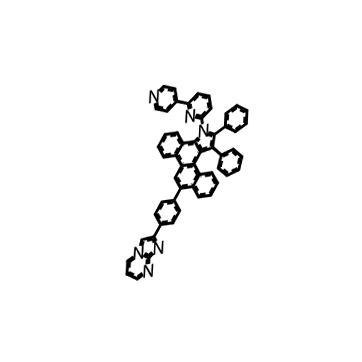 c1ccc(-c2c(-c3ccccc3)n(-c3cccc(-c4ccncc4)n3)c3c4ccccc4c4cc(-c5ccc(-c6cn7cccnc7n6)cc5)c5ccccc5c4c23)cc1